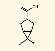 O=C(O)N1CC2C(C1)C2(F)F